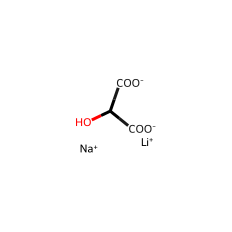 O=C([O-])C(O)C(=O)[O-].[Li+].[Na+]